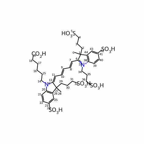 CC1(CCCS(=O)(=O)O)C(/C=C/C=C/C=C2/N(CCCCCC(=O)O)c3ccc(S(=O)(=O)O)cc3C2(C)CCCS(=O)(=O)O)=[N+](CCCS(=O)(=O)O)c2ccc(S(=O)(=O)O)cc21